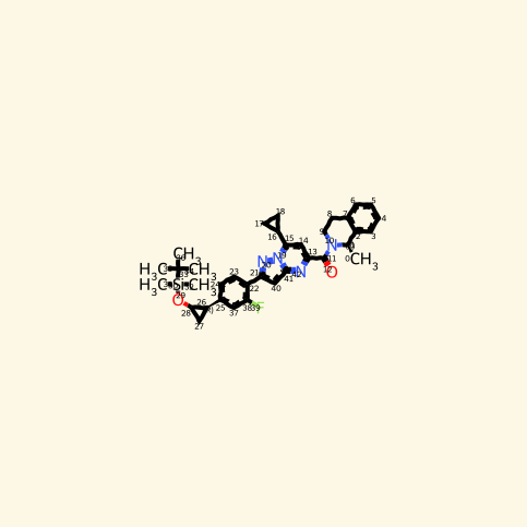 C[C@@H]1c2ccccc2CCN1C(=O)c1cc(C2CC2)n2nc(-c3ccc([C@H]4CC4O[Si](C)(C)C(C)(C)C)cc3F)cc2n1